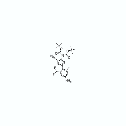 Cc1cc(N)cc(C(F)F)c1-n1cc(C#N)c(N(C(=O)OC(C)(C)C)C(=O)OC(C)(C)C)n1